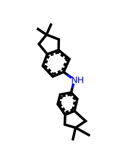 CC1(C)Cc2ccc(Nc3ccc4c(c3)CC(C)(C)C4)cc2C1